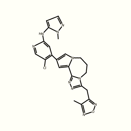 Cc1nonc1Cc1nnc2n1CCCn1cc(-c3cc(Nc4ccnn4C)ncc3Cl)cc1-2